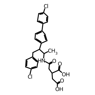 CC(NC(=O)CC(CC(=O)O)C(=O)O)C(Cc1ccc(Cl)cc1)c1ccc(-c2ccc(Cl)cc2)cc1